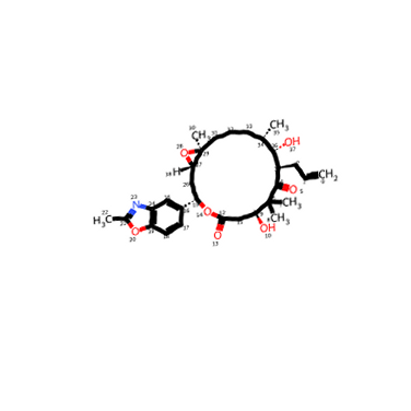 C=CC[C@H]1C(=O)C(C)(C)[C@@H](O)CC(=O)O[C@H](c2ccc3oc(C)nc3c2)C[C@@H]2O[C@@]2(C)CCC[C@H](C)[C@@H]1O